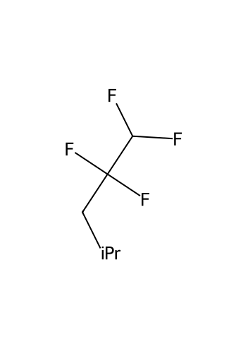 [CH2]C(C)CC(F)(F)C(F)F